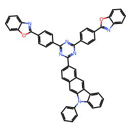 c1ccc(-n2c3ccccc3c3cc4cc(-c5nc(-c6ccc(-c7nc8ccccc8o7)cc6)nc(-c6ccc(-c7nc8ccccc8o7)cc6)n5)ccc4cc32)cc1